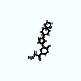 CC1CCC(C(=O)NN)CN1c1cnn(C2CCC3(CC2)OCCO3)c1